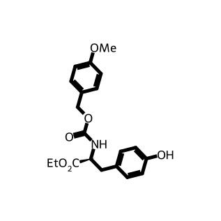 CCOC(=O)[C@H](Cc1ccc(O)cc1)NC(=O)OCc1ccc(OC)cc1